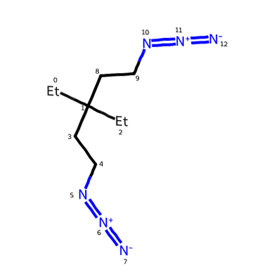 CCC(CC)(CCN=[N+]=[N-])CCN=[N+]=[N-]